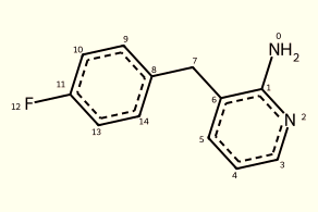 Nc1ncccc1Cc1ccc(F)cc1